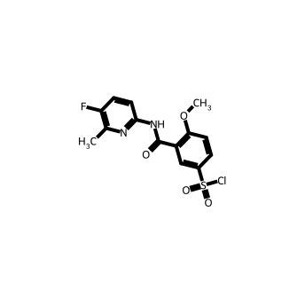 COc1ccc(S(=O)(=O)Cl)cc1C(=O)Nc1ccc(F)c(C)n1